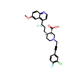 COc1ccc2nccc([C@@H](F)CC[C@@H]3CCN(CC#Cc4ccc(F)c(Cl)c4)C[C@@H]3C(=O)O)c2c1